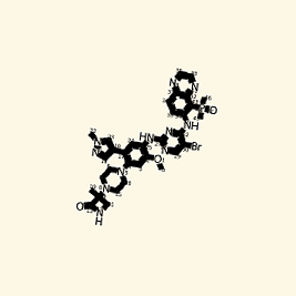 COc1cc(N2CCN(C3(C)CNC3=O)CC2)c(-c2cnn(C)c2)cc1Nc1ncc(Br)c(Nc2ccc3nccnc3c2P(C)(C)=O)n1